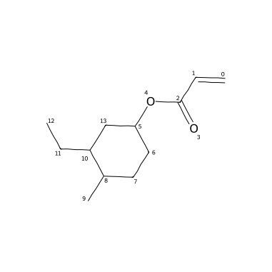 C=CC(=O)OC1CCC(C)C(CC)C1